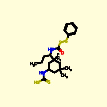 CCCC(NC(=O)SSc1ccccc1)C1(C)CC(NC(=S)S)CC(C)(C)C1